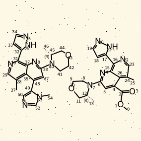 COC(=O)c1cc(N2CCOC[C@H]2C)nc2c(-c3ccn[nH]3)ncc(C)c12.Cc1cnc(-c2ccn[nH]2)c2nc(N3CCOC[C@H]3C)cc(-c3cncn3C)c12